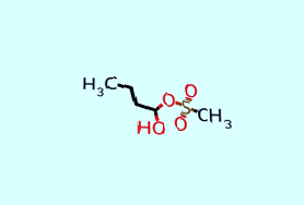 CCCC(O)OS(C)(=O)=O